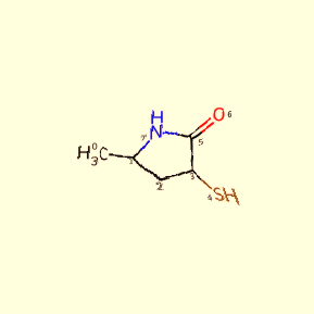 CC1CC(S)C(=O)N1